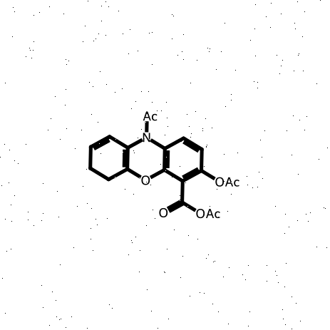 CC(=O)OC(=O)c1c(OC(C)=O)ccc2c1OC1=C(C=CCC1)N2C(C)=O